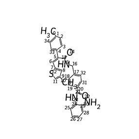 Cc1ccc(C(=Cc2cc(C)cs2)C(=O)NCc2ccc(C(=O)Nc3ccccc3N)cc2)cc1